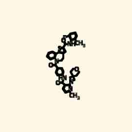 Cc1ccc(C(=O)Nc2ccc(C(=O)N3CCc4cc(C(=O)Nc5c(C)cccc5F)sc4-c4ccccc43)cc2)c(N2CC3(CCOCC3)C2)n1